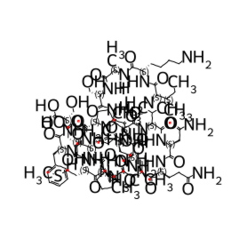 CC[C@H](C)[C@H](N)C(=O)N[C@@H](CCCCN)C(=O)N[C@@H](C)C(=O)N[C@@H](CO)C(=O)NCC(=O)N[C@@H](CC(N)=O)C(=O)N1CCC[C@H]1C(=O)N[C@@H](CC(=O)O)C(=O)N[C@@H](CCSC)C(=O)N[C@@H](C)C(=O)N[C@@H](CC(C)C)C(=O)N[C@H](C(=O)N[C@H](C(=O)N[C@@H](CC(N)=O)C(=O)N[C@@H](CCC(N)=O)C(=O)NCC(=O)N1CCC[C@H]1C(=O)N[C@@H](CCC(=O)O)C(=O)N[C@@H](Cc1ccccc1)C(=O)N[C@@H](CO)C(=O)O)C(C)C)C(C)C